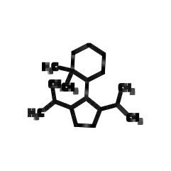 CC(C)C1CCC(C(C)C)C1C1CCCCC1(C)C